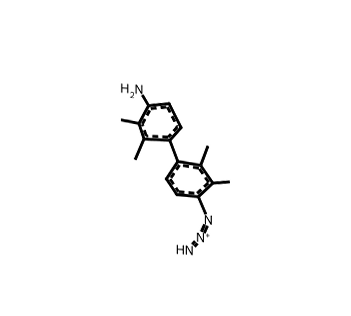 Cc1c(N)ccc(-c2ccc(N=[N+]=N)c(C)c2C)c1C